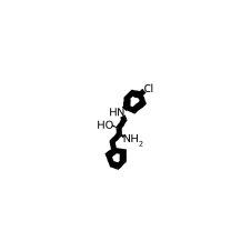 N[C@@H](Cc1ccccc1)[C@H](O)CNc1ccc(Cl)cc1